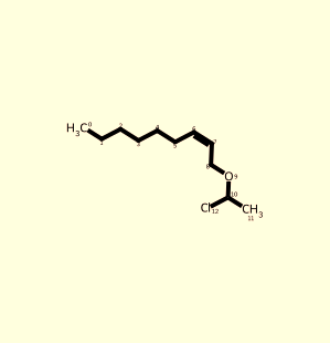 CCCCCC/C=C\COC(C)Cl